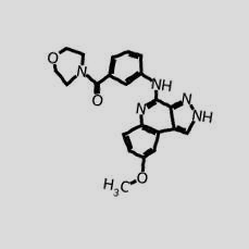 COc1ccc2nc(Nc3cccc(C(=O)N4CCOCC4)c3)c3n[nH]cc3c2c1